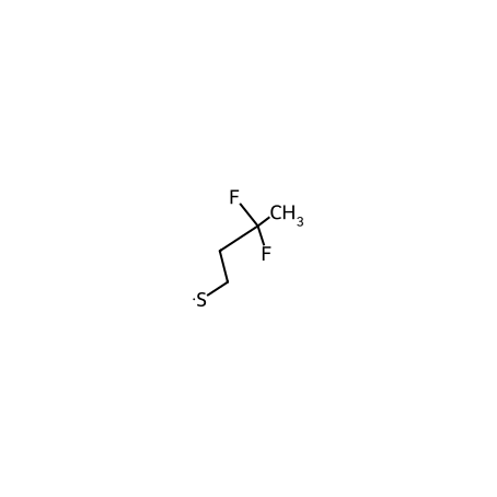 CC(F)(F)CC[S]